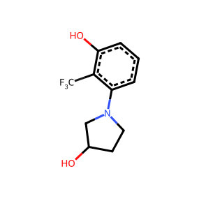 Oc1cccc(N2CCC(O)C2)c1C(F)(F)F